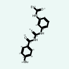 CCC(=O)Nc1cccc(NC(=S)NC(=O)c2ccc(C(C)(C)C)cc2)c1